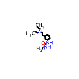 CCCN(CCC)CCc1cccc(NC(=O)NC)c1